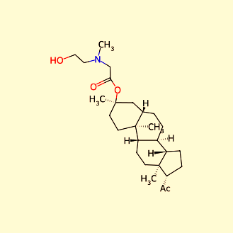 CC(=O)[C@H]1CC[C@H]2[C@@H]3CC[C@H]4C[C@](C)(OC(=O)CN(C)CCO)CC[C@]4(C)[C@H]3CC[C@]12C